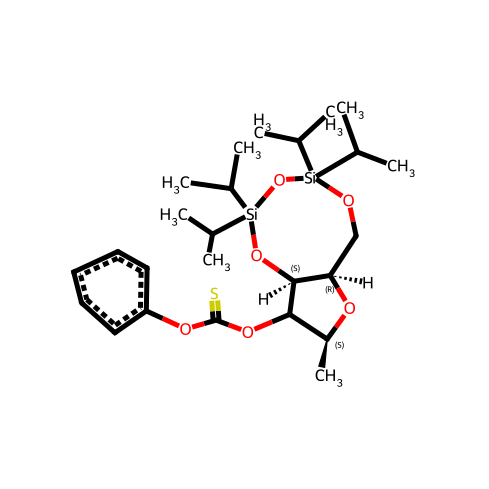 CC(C)[Si]1(C(C)C)OC[C@H]2O[C@@H](C)C(OC(=S)Oc3ccccc3)[C@H]2O[Si](C(C)C)(C(C)C)O1